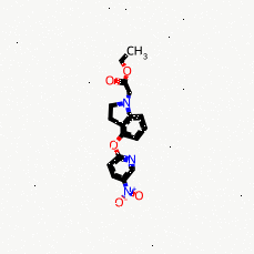 CCOC(=O)CN1CCc2c(Oc3ccc([N+](=O)[O-])cn3)cccc21